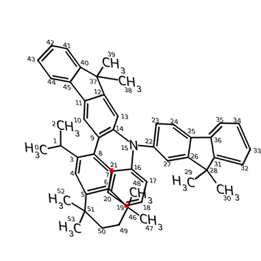 CC(C)c1cc2c(cc1-c1cc3c(cc1N(c1ccccc1)c1ccc4c(c1)C(C)(C)c1ccccc1-4)C(C)(C)c1ccccc1-3)C(C)(C)CCC2(C)C